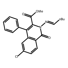 CCCC/C=N/n1c(C(=O)OC)c(-c2ccccc2)c2cc(Cl)ccc2c1=O